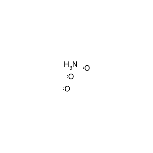 N.[O].[O].[O]